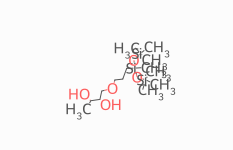 CC(O)C(O)COCCC[Si](C)(O[Si](C)(C)C)O[Si](C)(C)C